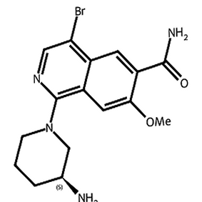 COc1cc2c(N3CCC[C@H](N)C3)ncc(Br)c2cc1C(N)=O